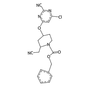 N#CCC1CC(Oc2cc(Cl)nc(C#N)n2)CCN1C(=O)OCc1ccccc1